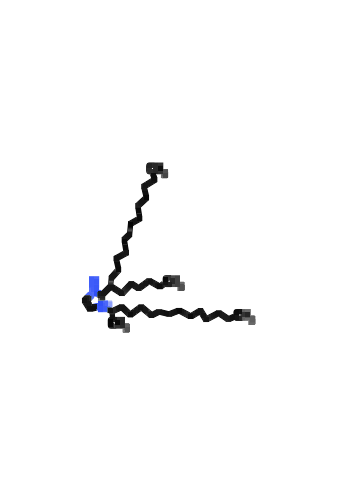 CCCCCCCCCCCCCC(CCCCCC)c1[nH]cc[n+]1C(C)CCCCCCCCCCCCC